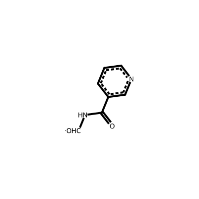 O=[C]NC(=O)c1cccnc1